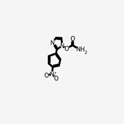 NC(=O)On1ccnc1-c1ccc([N+](=O)[O-])cc1